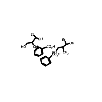 CCC(O)C(C)CO.CCC(O)C(C)CO.O=C(O)c1ccccc1.O=C(O)c1ccccc1